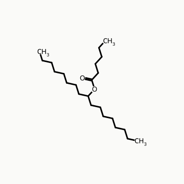 CCCCCCCCC(CCCCCCCC)OC(=O)CCCCC